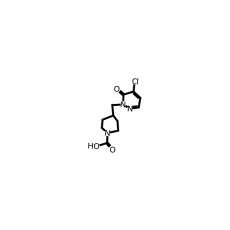 O=C(O)N1CCC(Cn2nccc(Cl)c2=O)CC1